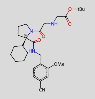 COc1cc(C#N)ccc1CNC(=O)[C@]1(C2CCCCC2)CCCN1C(=O)CNCC(=O)OC(C)(C)C